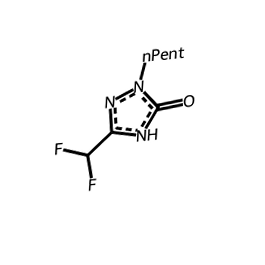 CCCCCn1nc(C(F)F)[nH]c1=O